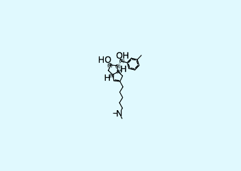 Cc1cccc([C@H](O)[C@@H]2[C@H]3CC(CCCCCN(C)C)=C[C@H]3C[C@H]2O)c1